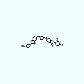 O=C1CCC(N2Cc3cc(O[C@H]4CCN(Cc5ccc6nc(N7CC[C@@H](O)C7)ccc6c5)C4)ccc3C2=O)C(=O)N1